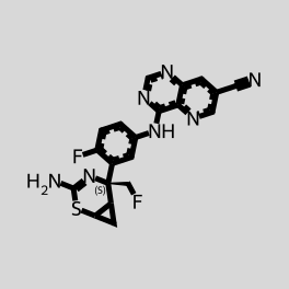 N#Cc1cnc2c(Nc3ccc(F)c([C@@]4(CF)N=C(N)SC5CC54)c3)ncnc2c1